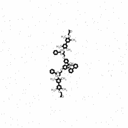 Cc1cc(-c2cc(C)c(OCC(COc3ccc(C(C)(c4ccc(OCC(COc5c(C)cc(-c6cc(C)c(OCC7CO7)c(C)c6)cc5C)OC(=O)c5ccccc5)cc4)P4(=O)Oc5ccccc5-c5ccccc54)cc3)OC(=O)c3ccccc3)c(C)c2)cc(C)c1OCC1CO1